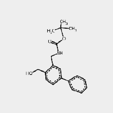 CC(C)(C)OC(=O)NCc1cc(-c2ccccc2)ccc1CO